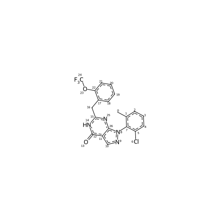 Cc1cccc(Cl)c1-n1ncc2c(=O)[nH]c(Cc3ccccc3OC(F)(F)F)nc21